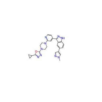 Cn1cc(-c2ccc3[nH]nc(-c4ccnc(N5CCN(c6nnc(C7CC7)o6)CC5)c4)c3c2)cn1